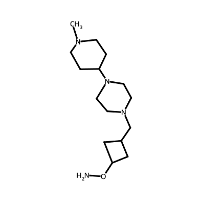 CN1CCC(N2CCN(CC3CC(ON)C3)CC2)CC1